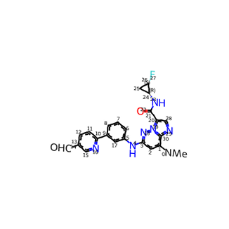 CNc1cc(Nc2cccc(-c3ccc(C=O)cn3)c2)nn2c(C(=O)N[C@@H]3C[C@@H]3F)cnc12